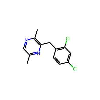 Cc1cnc(C)c(Cc2ccc(Cl)cc2Cl)n1